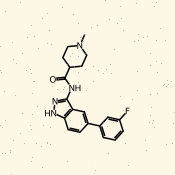 CN1CCC(C(=O)Nc2n[nH]c3ccc(-c4cccc(F)c4)cc23)CC1